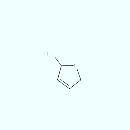 CC1C=CC[N]1